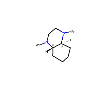 CC(C)N1CCN(C(C)C)[C@H]2CCCC[C@@H]21